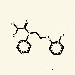 CCc1ccccc1OCCN(C(=O)C(Cl)CC)c1ccccc1